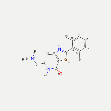 CCN(CC)CCN(C)C(=O)c1sc(-c2c(C)cccc2C)nc1C